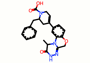 CC1C(=O)NN=C2COc3ccc(C4=CCN(C(=O)O)C(Cc5ccccc5)C4)cc3N21